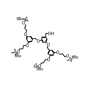 CC(C)(C)[Si](C)(C)OCCCOc1cc(COc2cc(CO)cc(OCc3cc(OCCCO[Si](C)(C)C(C)(C)C)cc(OCCCO[Si](C)(C)C(C)(C)C)c3)c2)cc(OCCCO[Si](C)(C)C(C)(C)C)c1